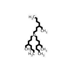 CCCCC(CC)CC[CH2][Al]([CH2]CCC(CC)CCCC)[CH2]CCC(CC)CCCC